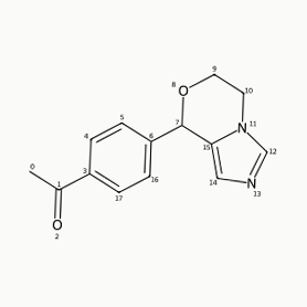 CC(=O)c1ccc(C2OCCn3cncc32)cc1